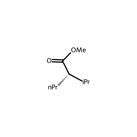 CCC[C@H](C(=O)OC)C(C)C